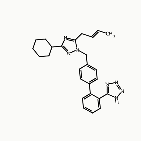 C/C=C/Cc1nc(C2CCCCC2)nn1Cc1ccc(-c2ccccc2-c2nnn[nH]2)cc1